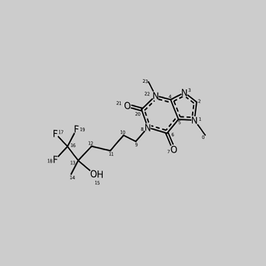 Cn1cnc2c1c(=O)n(CCCCC(C)(O)C(F)(F)F)c(=O)n2C